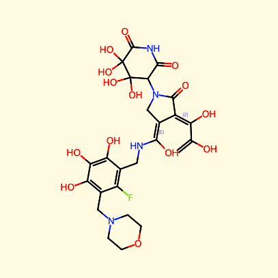 C=C(O)/C(O)=C1/C(=O)N(C2C(=O)NC(=O)C(O)(O)C2(O)O)C/C1=C(/O)NCc1c(O)c(O)c(O)c(CN2CCOCC2)c1F